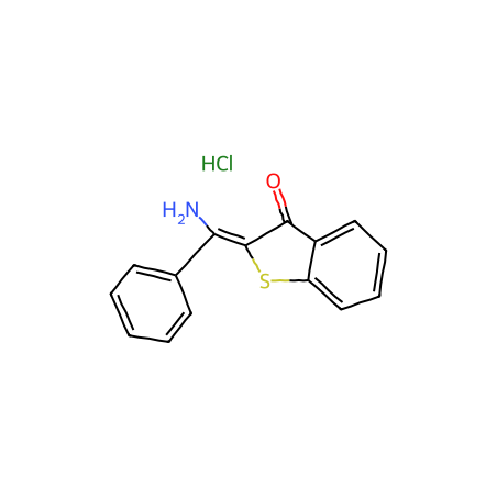 Cl.N/C(=C1/Sc2ccccc2C1=O)c1ccccc1